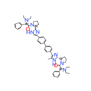 CCN(CC)[C@@H](C(=O)N1CCC[C@H]1c1nc(-c2ccc(-c3ccc(-c4nc([C@@H]5CCCN5C(=O)[C@@H](c5ccccc5)N(CC)CC)[nH]c4C)cc3)cc2)c[nH]1)c1ccccc1